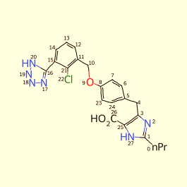 CCCc1nc(Cc2ccc(OCc3cccc(-c4nnn[nH]4)c3Cl)cc2)c(C(=O)O)[nH]1